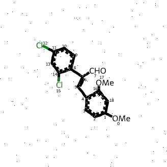 COc1ccc(/C=C(\C=O)c2ccc(Cl)cc2Cl)c(OC)c1